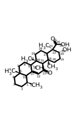 C[C@H]1CCC[C@]2(C)CC[C@]3(C)C(=CC(=O)C4[C@@]5(C)CC[C@@H](O)[C@](C)(C(=O)O)C5CC[C@]43C)C12